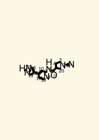 N#CN1CCC(C(=O)Nc2cc(-c3cn[nH]c3)ccn2)C1